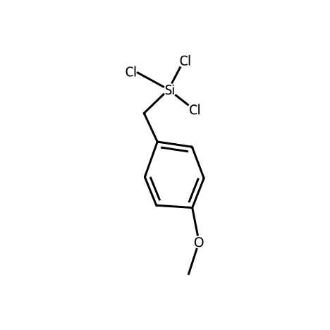 COc1ccc(C[Si](Cl)(Cl)Cl)cc1